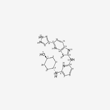 O[C@H]1CC[C@H](Nc2cccc(Nc3nc4ccc(-c5cn[nH]c5)nc4s3)n2)CC1